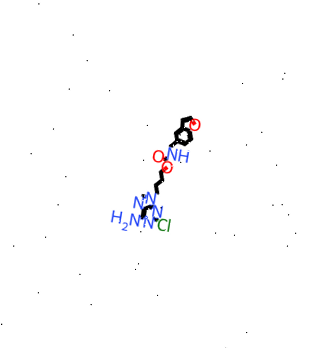 Nc1nc(Cl)nc2c1ncn2CCCCOC(=O)NCc1ccc2occc2c1